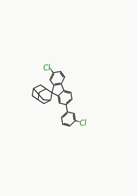 Clc1cccc(-c2ccc3c(c2)C2(c4cc(Cl)ccc4-3)C3CC4CC(C3)CC2C4)c1